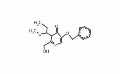 CCC(OC)C1C(=O)C(OCc2ccccc2)=CN=C1CO